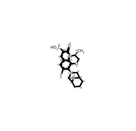 C[C@H]1COc2c(N3CC4CCCC(C3)N4)c(F)cc3cc(C(=O)O)c(=O)n1c23